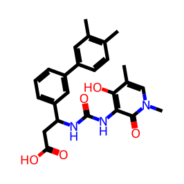 Cc1ccc(-c2cccc(C(CC(=O)O)NC(=O)Nc3c(O)c(C)cn(C)c3=O)c2)cc1C